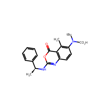 Cc1c(N(C(=O)O)C(C)(C)C)ccc2nc(N[C@@H](C)c3ccccc3)oc(=O)c12